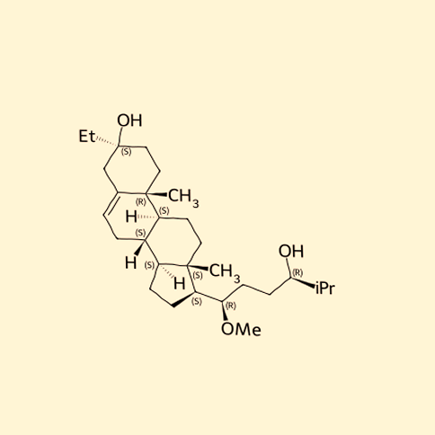 CC[C@]1(O)CC[C@@]2(C)C(=CC[C@H]3[C@@H]4CC[C@H]([C@@H](CC[C@@H](O)C(C)C)OC)[C@@]4(C)CC[C@@H]32)C1